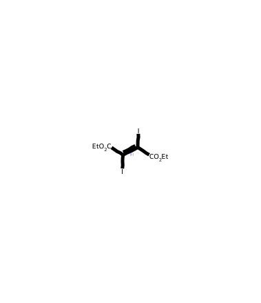 CCOC(=O)/C(I)=C(\I)C(=O)OCC